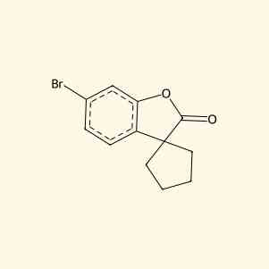 O=C1Oc2cc(Br)ccc2C12CCCC2